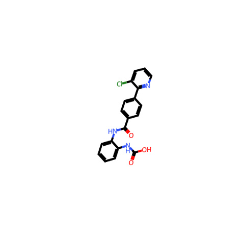 O=C(O)Nc1ccccc1NC(=O)c1ccc(-c2ncccc2Cl)cc1